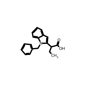 CCC(C(=O)O)c1cc2ccccc2n1Cc1ccccc1